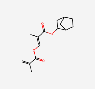 C=C(C)C(=O)OC=C(C)C(=O)OC1CC2CCC1C2